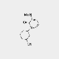 CNc1cccn(C2CCCC(C#N)C2)c1=O